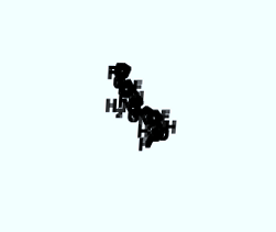 Nc1c(C(=O)c2cc3cc(F)c(NS(=O)(=O)CCCF)cc3[nH]2)cnn1-c1c(F)cc(Oc2ccccc2F)cc1F